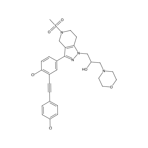 CS(=O)(=O)N1CCc2c(c(-c3ccc(Cl)c(C#Cc4ccc(Cl)cc4)c3)nn2CC(O)CN2CCOCC2)C1